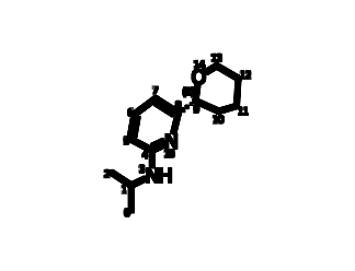 CC(C)Nc1cccc([C@H]2CCCCO2)n1